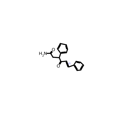 NC(=O)CC(C(=O)/C=C/c1ccccc1)c1ccccc1